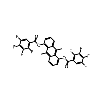 Cc1c2cccc(OC(=O)c3cc(F)c(F)c(F)c3F)c2c(C)c2cccc(OC(=O)c3cc(F)c(F)c(F)c3F)c12